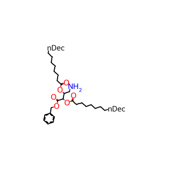 CCCCCCCCCCCCCCCCCC(=O)OC(CN)C(OC(=O)CCCCCCCCCCCCCCCCC)C(=O)OCc1ccccc1